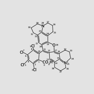 O=C(O)c1c(Cl)c(Cl)c(Cl)c(Cl)c1C1=c2cc3c4c(c2Oc2c1cc1c5c2CCCN5CCC1)CCC[N+]=4CCC3